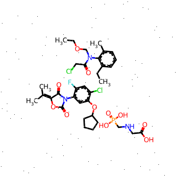 CC(C)=C1OC(=O)N(c2cc(OC3CCCC3)c(Cl)cc2F)C1=O.CCOCN(C(=O)CCl)c1c(C)cccc1CC.O=C(O)CNCP(=O)(O)O